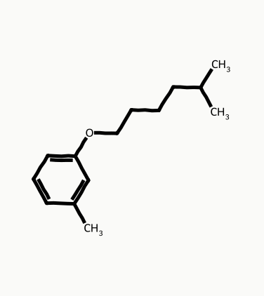 Cc1cccc(OCCCCC(C)C)c1